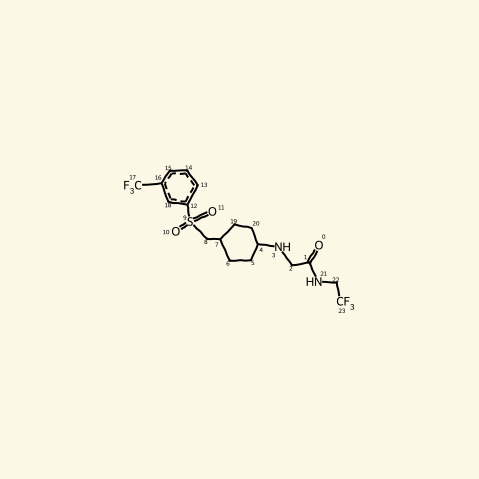 O=C(CNC1CCC(CS(=O)(=O)c2cccc(C(F)(F)F)c2)CC1)NCC(F)(F)F